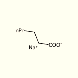 [CH2]CCCCC(=O)[O-].[Na+]